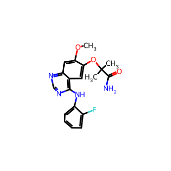 COc1cc2ncnc(Nc3ccccc3F)c2cc1OC(C)(C)C(N)=O